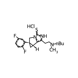 CCCCN(C)CCc1[nH]c(=S)n2c1[C@@H]1C[C@]1(c1cc(F)ccc1F)C2.Cl